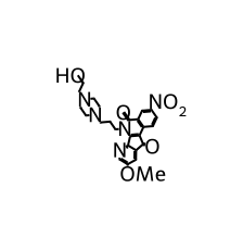 COc1cnc2c(c1)C(=O)c1c-2n(CCCN2CCN(CCO)CC2)c(=O)c2cc([N+](=O)[O-])ccc12